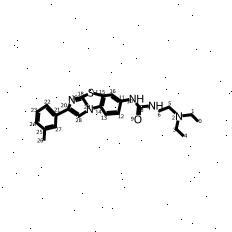 CCN(CC)CCNC(=O)Nc1ccc2c(c1)sc1nc(-c3cccc(C)c3)cn12